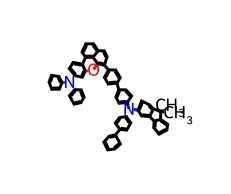 CC1(C)c2ccccc2-c2cc(N(c3ccc(-c4ccccc4)cc3)c3ccc(-c4ccc(-c5ccc6cccc7c6c5Oc5cc(N(c6ccccc6)c6ccccc6)ccc5-7)cc4)cc3)ccc21